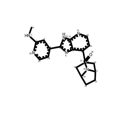 CNc1cc(-c2nc3c(N4CC5CCC(C4)N5C=O)ccnc3[nH]2)ccn1